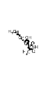 COCCOOC[C@H]1O[C@@H](n2cc(C)c(=O)[nH]c2=O)C[C@@H]1O